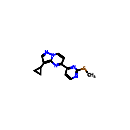 CSc1nccc(-c2ccn3ncc(C4CC4)c3n2)n1